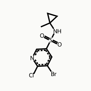 CC1(NS(=O)(=O)c2cnc(Cl)c(Br)c2)CC1